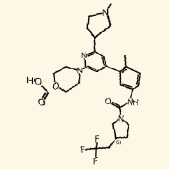 Cc1ccc(NC(=O)N2CC[C@@H](CC(F)(F)F)C2)cc1-c1cc(C2CCN(C)C2)nc(N2CCOCC2)c1.O=CO